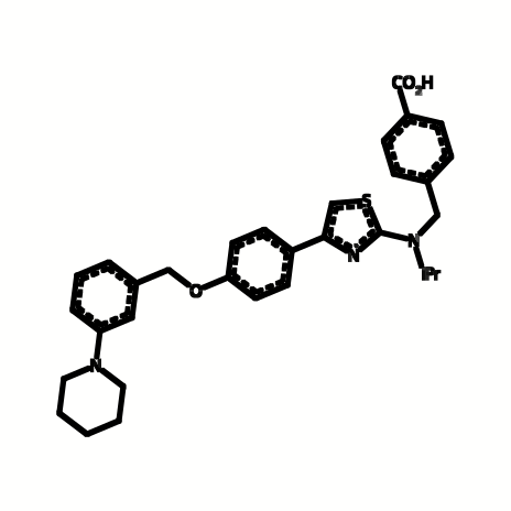 CC(C)N(Cc1ccc(C(=O)O)cc1)c1nc(-c2ccc(OCc3cccc(N4CCCCC4)c3)cc2)cs1